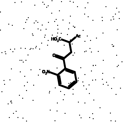 CC(=O)C(CC(=O)c1ccccc1[N+](=O)[O-])C(=O)O